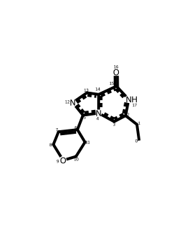 CCc1cn2c(C3=CCOCC3)ncc2c(=O)[nH]1